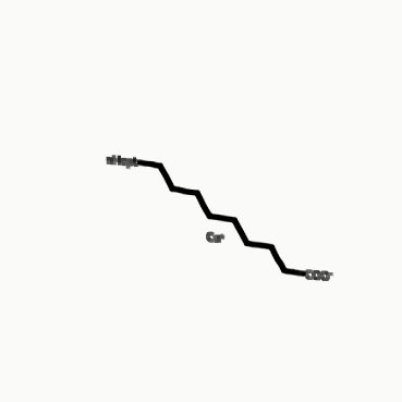 CCCCCCCCCCCCCCCC(=O)[O-].[Cu+]